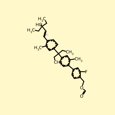 CCC(O)(/C=C/c1ccc(C(CC)(CC)c2ccc(-c3ccc(COC=O)c(F)c3)c(C)c2)cc1C)CC